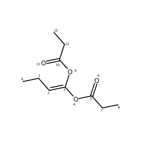 CCC=C(OC(=O)CC)OC(=O)CC